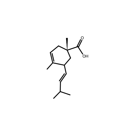 CC1=CC[C@](C)(C(=O)O)CC1/C=C/C(C)C